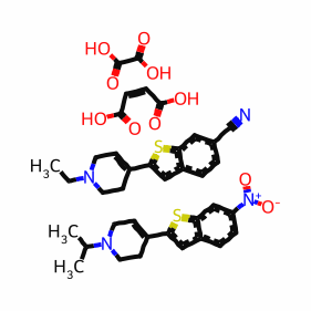 CC(C)N1CC=C(c2cc3ccc([N+](=O)[O-])cc3s2)CC1.CCN1CC=C(c2cc3ccc(C#N)cc3s2)CC1.O=C(O)/C=C\C(=O)O.O=C(O)C(=O)O